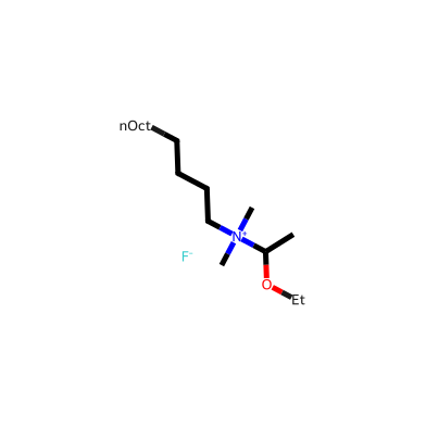 CCCCCCCCCCCC[N+](C)(C)C(C)OCC.[F-]